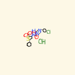 Cl.O=C(O)c1sc(-c2ccccc2)cc1NC(=O)N1CCN(Cc2ccc(Cl)cc2)CC1